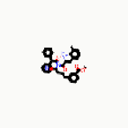 COC(=O)c1cccc(CCCC(C#N)N(C(=O)C(c2ccccc2)c2ccccc2)C(=O)[C@@H](N)Cc2cccc(C)c2)c1